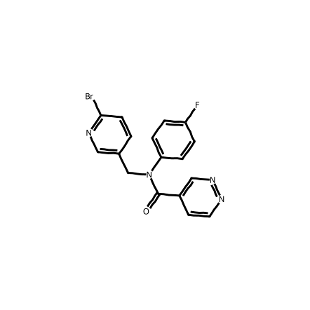 O=C(c1ccnnc1)N(Cc1ccc(Br)nc1)c1ccc(F)cc1